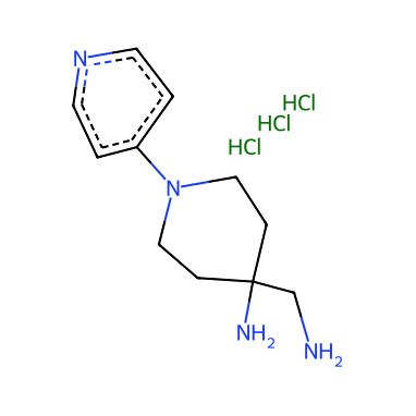 Cl.Cl.Cl.NCC1(N)CCN(c2ccncc2)CC1